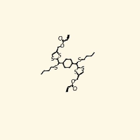 C=CC(=O)OCC1CSC(C(SCCCC)C2CCC(C(SCCCC)C3SCC(COC(=O)C=C)S3)CC2)S1